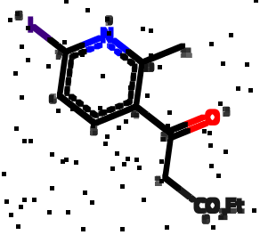 CCOC(=O)CC(=O)c1ccc(I)nc1C